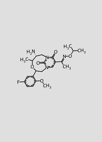 COc1ccc(F)cc1C1Cn2cc(/C(C)=N/OC(C)C)c(=O)n(c2=O)C[C@@H](N)C(C)O1